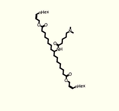 CCCCCC/C=C\COC(=O)CCCCCCCC(CCCCCCCC(=O)OC/C=C\CCCCCC)NC(=O)CCCCN(C)C